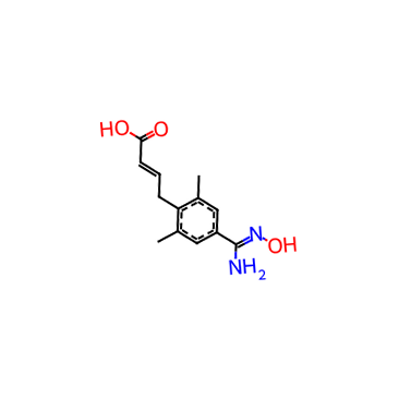 Cc1cc(/C(N)=N/O)cc(C)c1CC=CC(=O)O